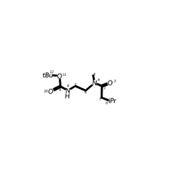 CC(C)CC(=O)N(C)CCNC(=O)OC(C)(C)C